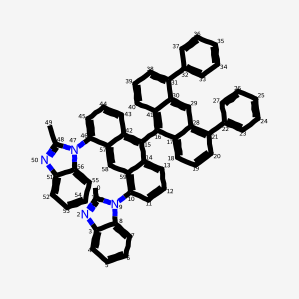 Cc1nc2ccccc2n1-c1cccc2c(-c3c4cccc(-c5ccccc5)c4cc4c(-c5ccccc5)cccc34)c3cccc(-n4c(C)nc5ccccc54)c3cc12